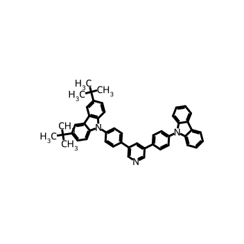 CC(C)(C)c1ccc2c(c1)c1cc(C(C)(C)C)ccc1n2-c1ccc(-c2cncc(-c3ccc(-n4c5ccccc5c5ccccc54)cc3)c2)cc1